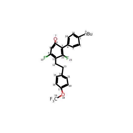 CCCCc1ccc(-c2c([O])cc(F)c(CCc3ccc(OC(F)(F)F)cc3)c2F)cc1